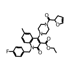 CCOC(=O)c1c(N2CCN(C(=O)C3CC=CO3)CC2)c2cc(C)ccc2n(Cc2ccc(F)cc2)c1=O